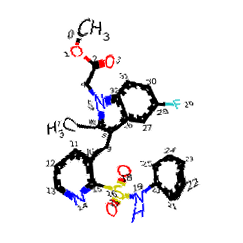 COC(=O)Cn1c(C)c(Cc2cccnc2S(=O)(=O)Nc2ccccc2)c2cc(F)ccc21